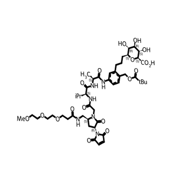 COCCOCCOCCC(=O)NC[C@@H]1C[C@@H](N2C(=O)C=CC2=O)C(=O)N1CC(=O)N[C@H](C(=O)N[C@@H](C)C(=O)Nc1ccc(COC(=O)C(C)(C)C)c(CCC[C@@H]2O[C@H](C(=O)O)[C@@H](O)[C@H](O)[C@H]2O)c1)C(C)C